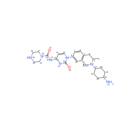 CCN(C(C)Cc1ccc(-n2ccc(NC(=O)N3CCNCC3)nc2=O)cc1)C1CCC(N)CC1